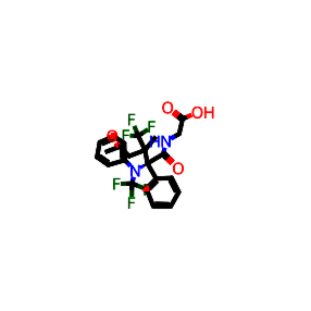 CC(=O)CC(C)(C(F)(F)F)[C@](C(=O)NCC(=O)O)(c1ccccc1)N(c1ccccc1)C(F)(F)F